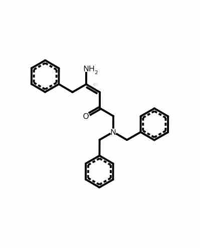 N/C(=C/C(=O)CN(Cc1ccccc1)Cc1ccccc1)Cc1ccccc1